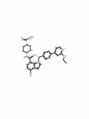 CCOc1cc(-c2ccc(Cn3ccc4c(Cl)ccc(C(=O)N[C@H]5CC[C@@H](C(=O)O)CC5)c43)cc2)ccn1